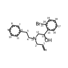 C=CCN(CCc1ccccc1)CC(O)c1ccccc1Br